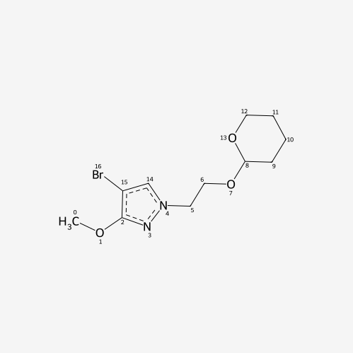 COc1nn(CCOC2CCCCO2)cc1Br